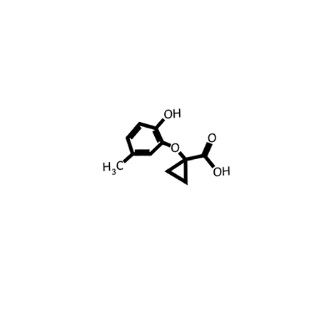 Cc1ccc(O)c(OC2(C(=O)O)CC2)c1